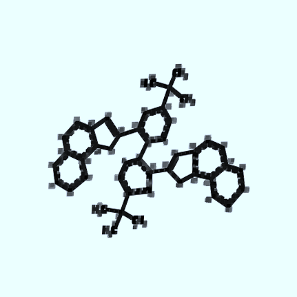 CC(C)(C)c1ccc(-c2ccc(C(C)(C)C)cc2C2=Cc3ccc4ccccc4c3C2)c(C2=Cc3ccc4ccccc4c3C2)c1